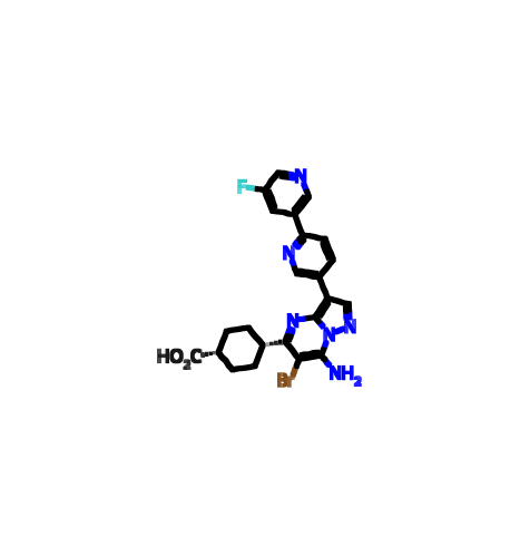 Nc1c(Br)c([C@H]2CC[C@@H](C(=O)O)CC2)nc2c(-c3ccc(-c4cncc(F)c4)nc3)cnn12